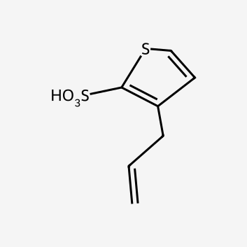 C=CCc1ccsc1S(=O)(=O)O